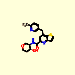 O=C(N[C@@H]1COCC[C@H]1O)c1cc(Cc2ccc(C(F)(F)F)nc2)c2sccc2n1